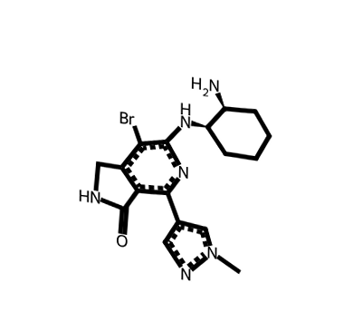 Cn1cc(-c2nc(N[C@@H]3CCCC[C@@H]3N)c(Br)c3c2C(=O)NC3)cn1